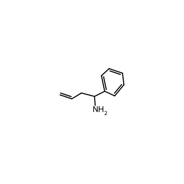 C=CCC(N)c1ccccc1